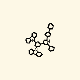 c1ccc(-c2ccc(-c3cc(-c4cc(-n5c6ccccc6c6ccccc65)cc(-n5c6ccccc6c6ccccc65)c4)cc(-c4ccccc4)n3)cc2)cc1